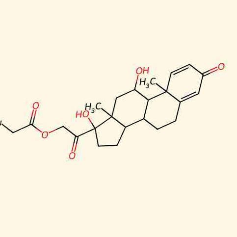 CC(C)(C)CC(=O)OCC(=O)C1(O)CCC2C3CCC4=CC(=O)C=CC4(C)C3C(O)CC21C